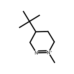 C[N+]1=NCC(C(C)(C)C)CC1